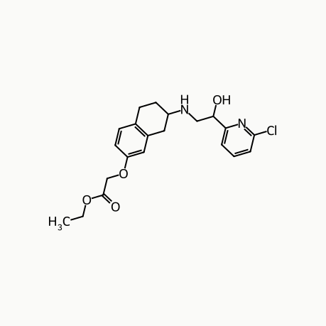 CCOC(=O)COc1ccc2c(c1)CC(NCC(O)c1cccc(Cl)n1)CC2